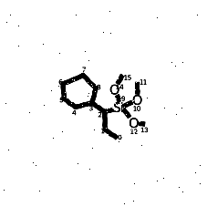 CCC(C1CCCCC1)[Si](OC)(OC)OC